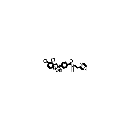 CS(=O)(=O)N(Cc1cccc(Cl)c1Cl)c1ccc(C(=O)NCCc2cnccn2)cc1